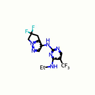 CCNc1nc(Nc2cnn3c2CC(F)(F)C3)ncc1C(F)(F)F